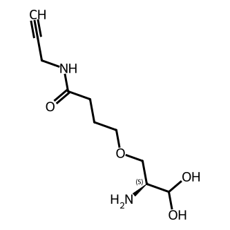 C#CCNC(=O)CCCOC[C@H](N)C(O)O